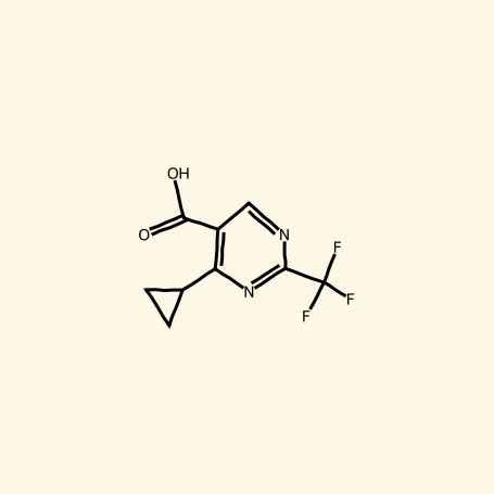 O=C(O)c1cnc(C(F)(F)F)nc1C1CC1